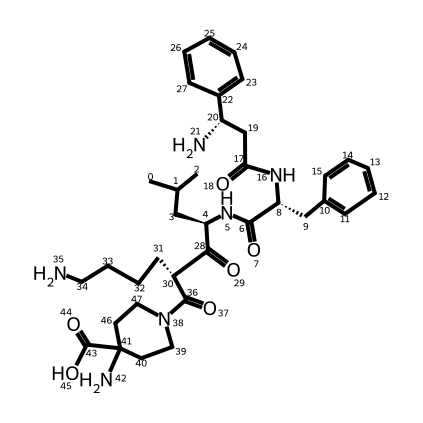 CC(C)C[C@@H](NC(=O)[C@@H](Cc1ccccc1)NC(=O)C[C@H](N)c1ccccc1)C(=O)[C@@H](CCCCN)C(=O)N1CCC(N)(C(=O)O)CC1